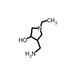 CCN1CC(O)C(CN)C1